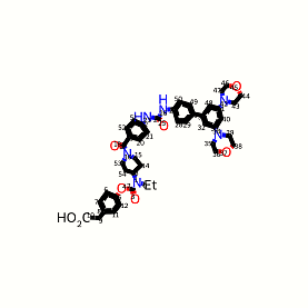 CCN(C(=O)Oc1ccc(CC(=O)O)cc1)C1CCN(C(=O)c2ccc(NC(=O)Nc3ccc(-c4cc(N5CCOCC5)cc(N5CCOCC5)c4)cc3)cc2)CC1